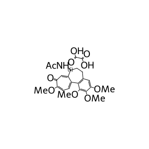 COc1cc2c(c(OC)c1OC)-c1ccc(OC)c(=O)cc1[C@@H](NC(C)=O)CC2.O=C(O)C(=O)O